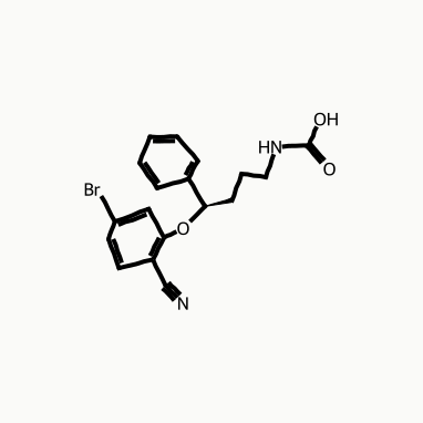 N#Cc1ccc(Br)cc1O[C@H](CCCNC(=O)O)c1ccccc1